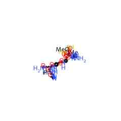 COP(=O)(S)O[C@H]1[C@@H](OC(=O)[C@@H]2CC[C@@H](NC(=O)OCc3ccc(NC(=O)[C@H](CCCNC(N)=O)NC(=O)[C@@H](NC(=O)CN4N=NCC4C)C(C)C)cc3)C2)[C@H](n2cnc3c(N)ncnc32)O[C@@H]1CO[P@@](=O)(S)OC